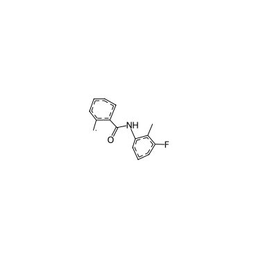 [CH2]c1ccccc1C(=O)Nc1cccc(F)c1C